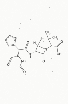 CC1(C)S[C@@H]2[C@@H](NC(=O)C(c3cccs3)N(C=O)NC=O)C(=O)N2[C@H]1C(=O)O